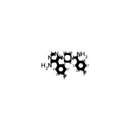 Nc1ncnc(N2CCN(C(N)c3ccc(F)cc3)CC2)c1-c1ccc(F)cc1